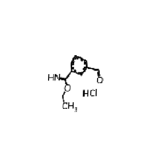 CCOC(=N)c1cccc(C=O)c1.Cl